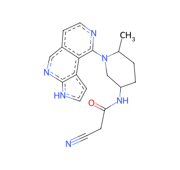 CC1CCC(NC(=O)CC#N)CN1c1nccc2cnc3[nH]ccc3c12